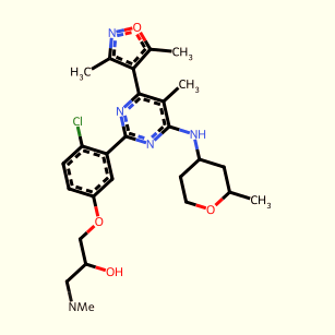 CNCC(O)COc1ccc(Cl)c(-c2nc(NC3CCOC(C)C3)c(C)c(-c3c(C)noc3C)n2)c1